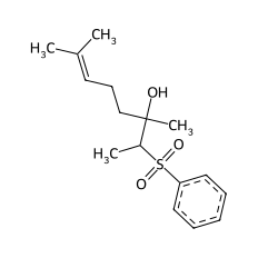 CC(C)=CCCC(C)(O)C(C)S(=O)(=O)c1ccccc1